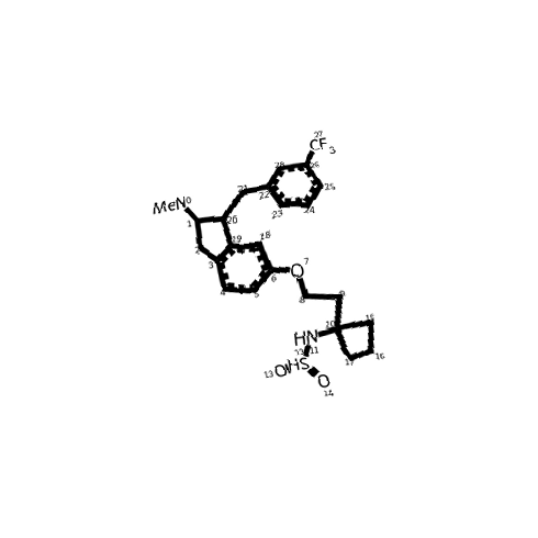 CNC1Cc2ccc(OCCC3(N[SH](=O)=O)CCC3)cc2C1Cc1cccc(C(F)(F)F)c1